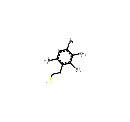 Bc1cc(C(C)C)c(B)c(B)c1CCS